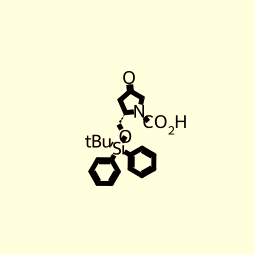 CC(C)(C)[Si](OC[C@@H]1CC(=O)CN1C(=O)O)(c1ccccc1)c1ccccc1